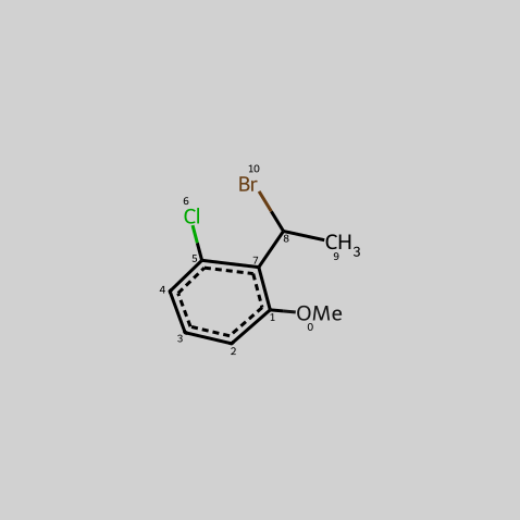 COc1cccc(Cl)c1C(C)Br